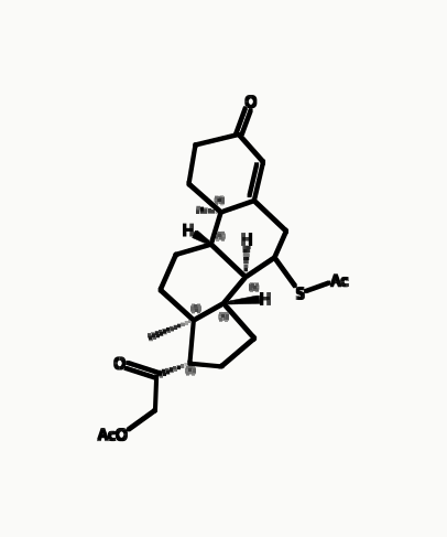 CC(=O)OCC(=O)[C@H]1CC[C@H]2[C@@H]3C(SC(C)=O)CC4=CC(=O)CC[C@]4(C)[C@H]3CC[C@]12C